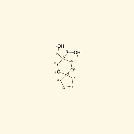 OCC1(CO)COC2(CCCC2)OC1